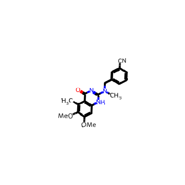 COc1cc2[nH]c(N(C)Cc3cccc(C#N)c3)nc(=O)c2c(C)c1OC